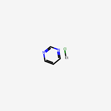 CCCl.c1cncnc1